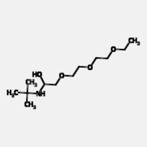 CCOCCOCCOCC(O)NC(C)(C)C